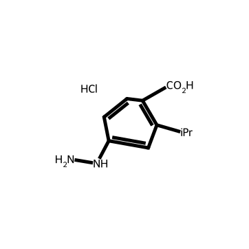 CC(C)c1cc(NN)ccc1C(=O)O.Cl